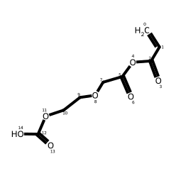 C=CC(=O)OC(=O)COCCOC(=O)O